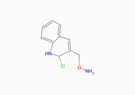 NOCC1=Cc2ccccc2NC1Cl